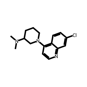 CN(C)C1CCCN(c2ccnc3cc(Cl)ccc23)C1